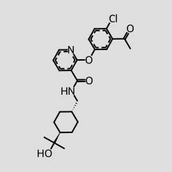 CC(=O)c1cc(Oc2ncccc2C(=O)NC[C@H]2CC[C@H](C(C)(C)O)CC2)ccc1Cl